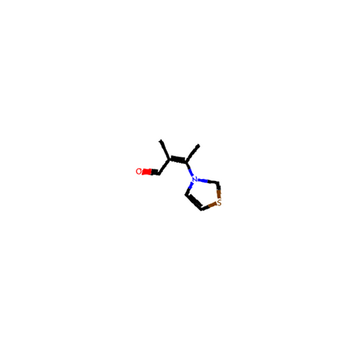 CC(C=O)=C(C)N1C=CSC1